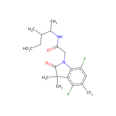 CC(CC(=O)O)C(C)NC(=O)CN1C(=O)C(C)(C)c2c(F)c(C(F)(F)F)cc(F)c21